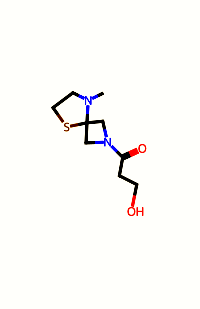 CN1CCSC12CN(C(=O)CCO)C2